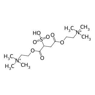 C[N+](C)(C)CCOC(=O)CC(C(=O)OCC[N+](C)(C)C)S(=O)(=O)O